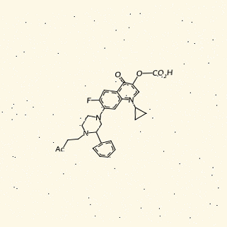 CC(=O)CCN1CCN(c2cc3c(cc2F)c(=O)c(OC(=O)O)cn3C2CC2)CC1c1ccccc1